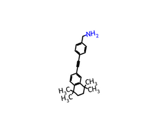 CC1(C)CCC(C)(C)c2cc(C#Cc3ccc(CN)cc3)ccc21